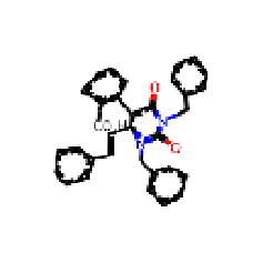 O=C(O)c1ccccc1-c1c(C=Cc2ccccc2)n(Cc2ccccc2)c(=O)n(Cc2ccccc2)c1=O